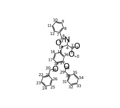 COC(=O)C1N=C(c2ccccc2)OC1c1ccc(OCc2ccccc2)c(OCc2ccccc2)c1